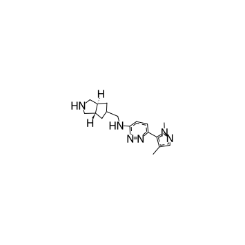 Cc1cnn(C)c1-c1ccc(NCC2C[C@@H]3CNC[C@H]3C2)nn1